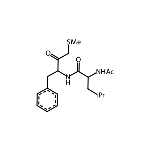 CSCC(=O)C(Cc1ccccc1)NC(=O)C(CC(C)C)NC(C)=O